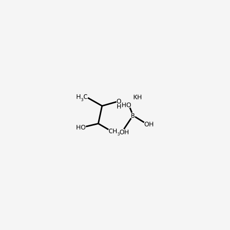 CC(O)C(C)O.OB(O)O.[KH]